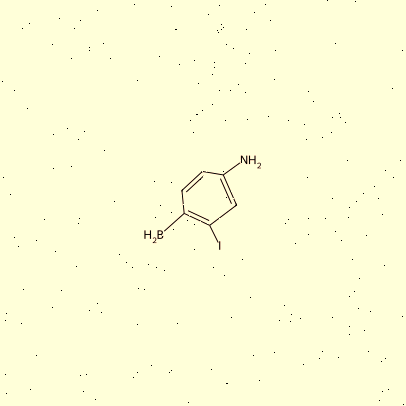 Bc1ccc(N)cc1I